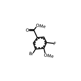 COC(=O)c1cc(F)c(OC)c(Br)c1